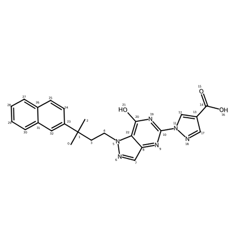 CC(C)(CCn1ncc2nc(-n3cc(C(=O)O)cn3)nc(O)c21)c1ccc2ccccc2c1